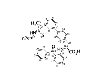 CCCCCNC(=S)N(C)c1cccc(-c2ccc(C[C@H](Nc3ccccc3C(=O)c3ccccc3)C(=O)O)cc2)c1